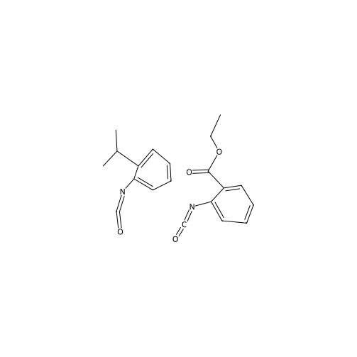 CC(C)c1ccccc1N=C=O.CCOC(=O)c1ccccc1N=C=O